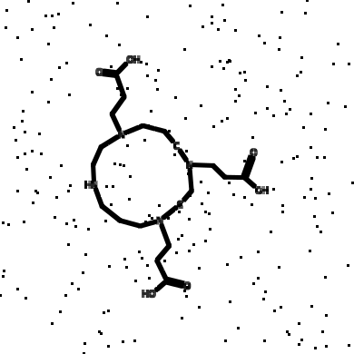 O=C(O)CCN1CCCN(CCC(=O)O)CCN(CCC(=O)O)CCCNCC1